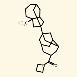 O=C(C1CC2CC3CC(C45CC6CCCC(C(=O)O)(C4)C(C6)C5)(C2)CC3C1)N1CCC1